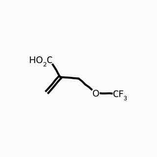 C=C(COC(F)(F)F)C(=O)O